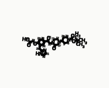 CC(C)(C)OC(=O)N1CCC(N2CCN(CC(=O)c3ccc(OCC(=O)O)c(Cc4ncc[nH]4)c3)C(=O)C2)CC1